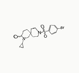 O=C1CCC2(CCN(S(=O)(=O)c3ccc(Br)cc3)CC2)CN1C1CC1